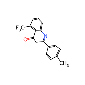 Cc1ccc(C2=Nc3cccc(C(F)(F)F)c3C(=O)C2)cc1